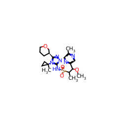 COC(c1cnc(C)cn1)C(C)S(=O)(=O)Nc1nnc([C@H]2CCCOC2)n1C1(C)CC1